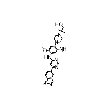 CNc1cc(Nc2cc(-c3ccc4c(cnn4C)c3)ncn2)c(OC)cc1N1CCN(C(C)(C)CO)CC1